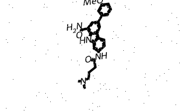 COc1cccc(-c2cc(C(N)=O)c3[nH]c4cc(NC(=O)CCCN(C)C)ccc4c3c2)c1